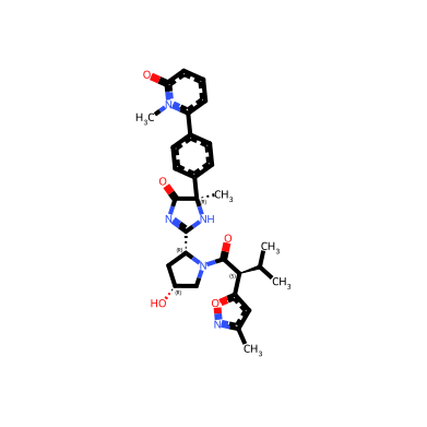 Cc1cc([C@@H](C(=O)N2C[C@H](O)C[C@@H]2C2=NC(=O)[C@@](C)(c3ccc(-c4cccc(=O)n4C)cc3)N2)C(C)C)on1